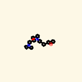 c1ccc(-c2ccccc2N(c2ccc(-c3cccc(-c4ccc5c(c4)oc4ccccc45)c3)cc2)c2ccc(-c3cccc(-n4c5ccccc5c5ccccc54)c3)cc2)cc1